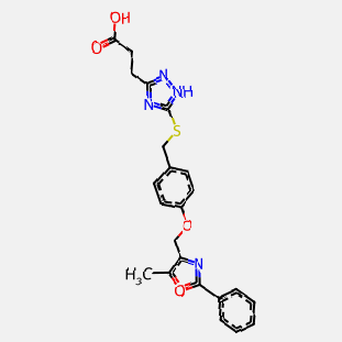 Cc1oc(-c2ccccc2)nc1COc1ccc(CSc2nc(CCC(=O)O)n[nH]2)cc1